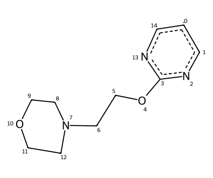 [c]1cnc(OCCN2CCOCC2)nc1